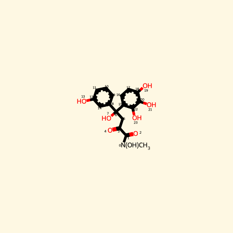 CN(O)C(=O)C(=O)CC(O)(c1cccc(O)c1)c1ccc(O)c(O)c1O